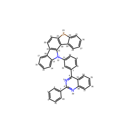 c1ccc(-c2nc(-c3cccc(-n4c5ccccc5c5ccc6sc7ccccc7c6c54)c3)c3ccccc3n2)cc1